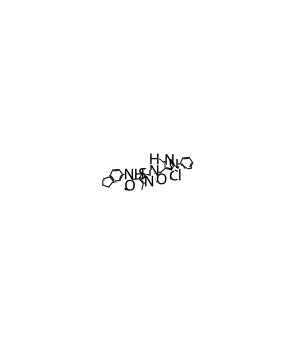 Cc1nc(NC(=O)c2c(C)nn(-c3ccccc3)c2Cl)sc1C(=O)Nc1ccc2c(c1)CCC2